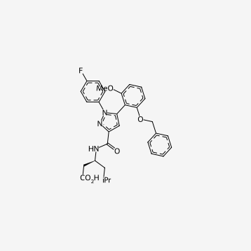 COc1cccc(OCc2ccccc2)c1-c1cc(C(=O)N[C@H](CC(=O)O)CC(C)C)nn1-c1ccc(F)cc1